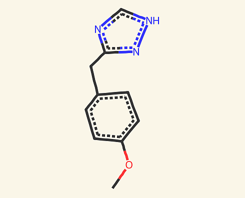 COc1ccc(Cc2nc[nH]n2)cc1